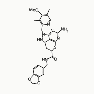 COc1c(C)cnc(CN2NC3CC(C(=O)NCc4ccc5c(c4)OCO5)Sc4nc(N)nc2c43)c1C